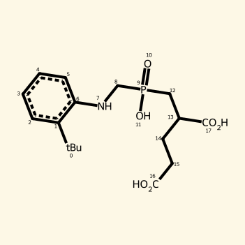 CC(C)(C)c1ccccc1NCP(=O)(O)CC(CCC(=O)O)C(=O)O